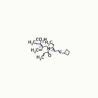 C=CC(=O)N(C/C(C=C)=C(/C=C)C(=O)O)/C(C=C)=C/C=C/C1CCC1